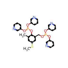 CSc1cc(C)c(OP(Oc2cccnc2)Oc2cccnc2)c(COP(Oc2cccnc2)Oc2cccnc2)c1